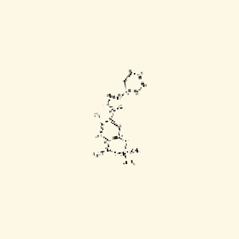 CN1C[N+](C)(C)Cc2cc(-c3nnc(-c4ccccc4)o3)ccc21.[Cl-]